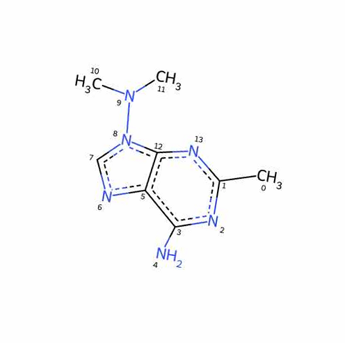 Cc1nc(N)c2ncn(N(C)C)c2n1